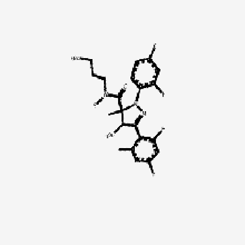 CCCCC1C(c2c(C)cc(F)cc2F)=NN(c2ccc(F)cc2F)C1(C)C(=O)N(F)CCCC(C)(C)C